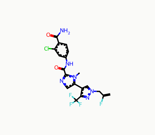 C=C(F)Cn1cc(-c2cnc(C(=O)Nc3ccc(C(N)=O)c(Cl)c3)n2C)c(C(F)(F)F)n1